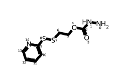 NNC(=O)OCCSSc1ccccn1